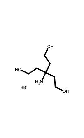 Br.NC(CCO)(CCO)CCO